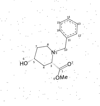 COC(=O)[C@@H]1C[C@H](O)CCN1Cc1ccccc1